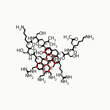 CC(=O)C[C@@H](CCCCN)C(=O)N[C@@H](CO)C(=O)C[C@@H](Cc1ccc(O)cc1)C(=O)N[C@@H](CCCNC(=N)N)C(=O)C[C@@H](CCCCN)C(=O)N[C@@H](CCCNC(=N)N)C(=O)C[C@@H](Cc1ccc(O)cc1)C(=O)N[C@@H](CO)C(=O)C[C@@H](CCCCN)C(=O)N[C@@H](CO)C(=O)C[C@H](C(=O)NCC(=O)C[C@@H](CCCCN)C(=O)O)C(C)C